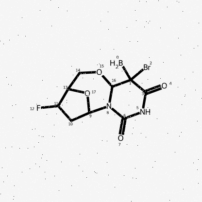 BC1(Br)C(=O)NC(=O)N2C3CC(F)C(COC21)O3